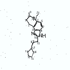 CC1CCc2c(ccc3[nH]c(CCC4CCCC4)nc23)N1C